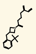 C=CC(=C)CCCC(=C)N1CC(Cc2ccccc2C(C)(C)C)C1